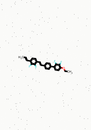 C/C=C/c1ccc(/C=C/c2ccc(-c3ccc(OCC)c(F)c3F)cc2)c(F)c1F